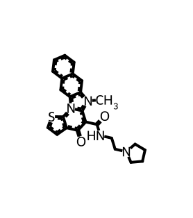 Cn1c2cc3ccccc3cc2n2c3sccc3c(=O)c(C(=O)NCCN3CCCC3)c12